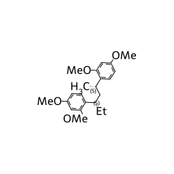 CC[C@@H](C[C@H](C)c1ccc(OC)cc1OC)c1ccc(OC)cc1OC